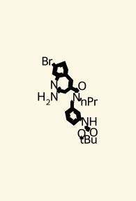 CCCN(Cc1cccc(NC(=O)OC(C)(C)C)c1)C(=O)C1=Cc2ccc(Br)cc2N=C(N)C1